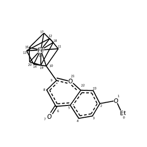 CCOc1ccc2c(=O)cc([C]34[CH]5[CH]6[CH]7[CH]3[Fe]6754389%10[CH]4[CH]3[CH]8[CH]9[CH]4%10)oc2c1